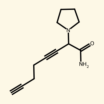 C#CCCC#CC(C(N)=O)N1CCCC1